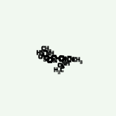 C=CC(=O)Nc1cc(-c2ccc3c(ccc4sc5c(c43)NC[C@@H](C)NC5=O)n2)ccc1N1CCN(C)CC1